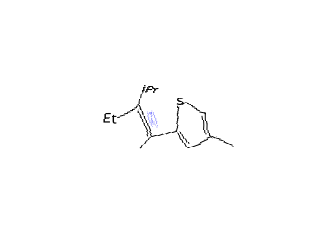 CC/C(=C(\C)c1cc(C)cs1)C(C)C